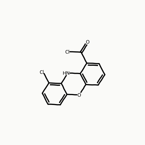 O=C(Cl)c1cccc2c1Nc1c(Cl)cccc1O2